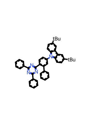 CC(C)(C)c1ccc2c(c1)c1cc(C(C)(C)C)ccc1n2-c1ccc(-c2nc(-c3ccccc3)nc(-c3ccccc3)n2)c(-c2ccccc2)c1